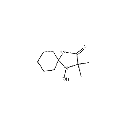 CC1(C)C(=O)NC2(CCCCC2)N1O